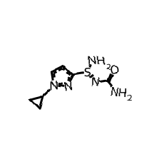 NC(=O)/N=S(\N)c1ccn(C2CC2)n1